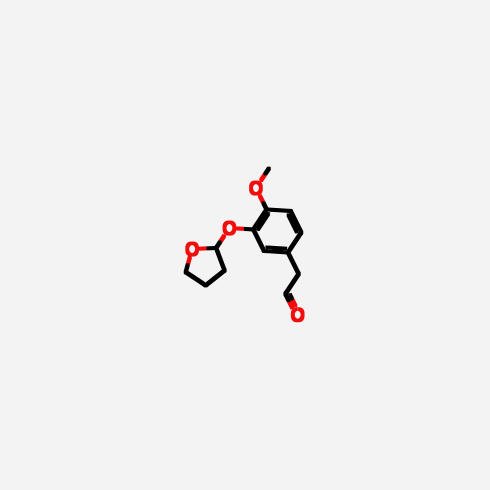 COc1ccc(CC=O)cc1OC1CCCO1